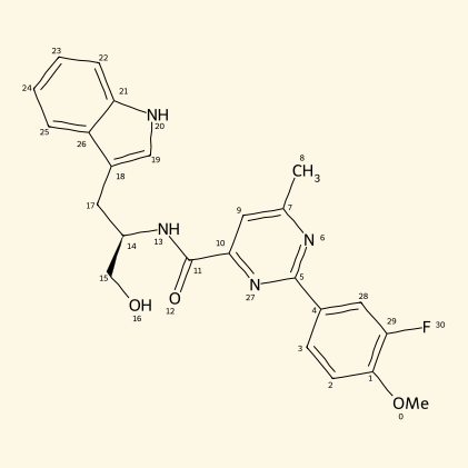 COc1ccc(-c2nc(C)cc(C(=O)N[C@@H](CO)Cc3c[nH]c4ccccc34)n2)cc1F